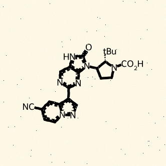 CC(C)(C)[C@H]1C(n2c(=O)[nH]c3cnc(-c4cnn5ccc(C#N)cc45)nc32)CCN1C(=O)O